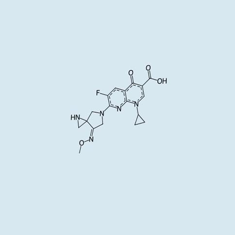 CO/N=C1/CN(c2nc3c(cc2F)c(=O)c(C(=O)O)cn3C2CC2)CC12CN2